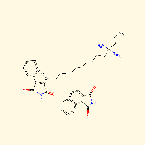 CCCC(N)(N)CCCCCCCCCc1cc2ccccc2c2c1C(=O)NC2=O.O=C1NC(=O)c2c1ccc1ccccc21